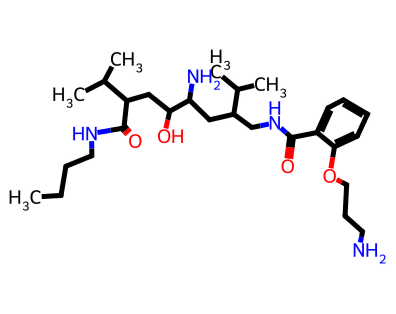 CCCCNC(=O)C(CC(O)C(N)CC(CNC(=O)c1ccccc1OCCCN)C(C)C)C(C)C